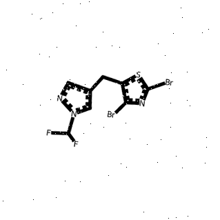 FC(F)n1cc(Cc2sc(Br)nc2Br)cn1